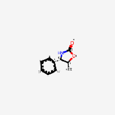 CC[C@@H]1OC(=O)N[C@H]1c1ccccc1